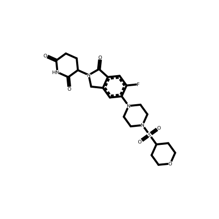 O=C1CCC(N2Cc3cc(N4CCN(S(=O)(=O)C5CCOCC5)CC4)c(F)cc3C2=O)C(=O)N1